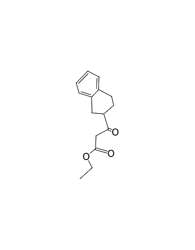 CCOC(=O)CC(=O)C1CCc2ccccc2C1